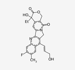 CCC1(O)C(=O)OCc2c1cc1n(c2=O)Cc2c-1nc1cc(F)c(C)cc1c2C=CCO